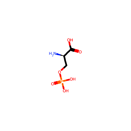 N[C@H](COP(=O)(O)O)C(=O)O